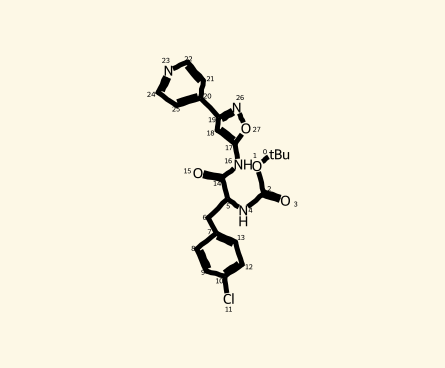 CC(C)(C)OC(=O)NC(Cc1ccc(Cl)cc1)C(=O)Nc1cc(-c2ccncc2)no1